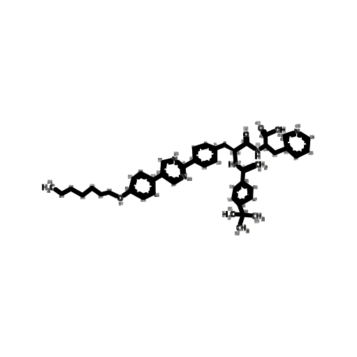 C=C(N[C@@H](Cc1ccc(-c2ncc(-c3ccc(OCCCCCCC)cc3)cn2)cc1)C(=O)NC(Cc1cccnc1)C(=O)O)c1ccc(C(C)(C)C)cc1